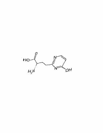 NC(CCc1nccc(O)n1)C(=O)O